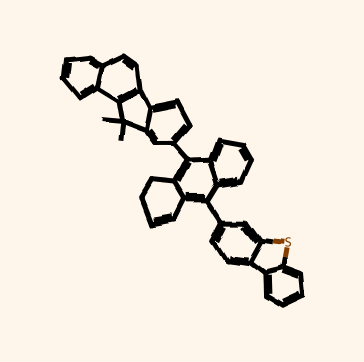 CC1(C)c2cc(-c3c4c(c(-c5ccc6c(c5)sc5ccccc56)c5ccccc35)C=CCC4)ccc2-c2ccc3ccccc3c21